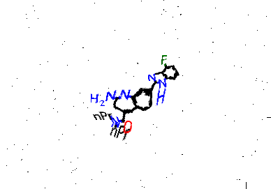 CCCN(CCC)C(=O)C1=Cc2ccc(C3=NCc4c(F)cccc4N3)cc2N=C(N)C1